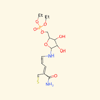 CCOP(=O)(OCC)OCC1OC(N/C=C\C=C(/C=S)C(N)=O)C(O)C1O